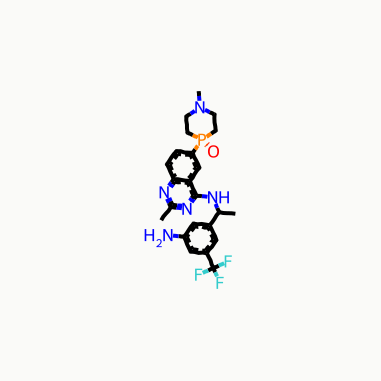 Cc1nc(NC(C)c2cc(N)cc(C(F)(F)F)c2)c2cc(P3(=O)CCN(C)CC3)ccc2n1